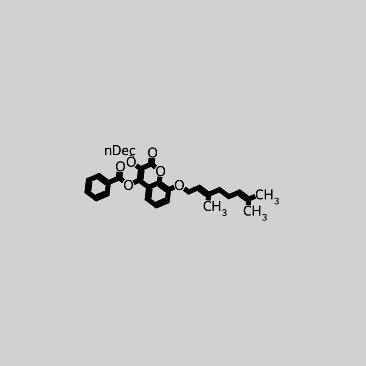 CCCCCCCCCCOc1c(OC(=O)c2ccccc2)c2cccc(OC/C=C(\C)CCC=C(C)C)c2oc1=O